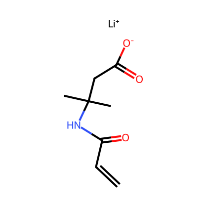 C=CC(=O)NC(C)(C)CC(=O)[O-].[Li+]